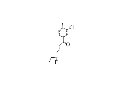 CCCC(C)(F)CCCC(=O)c1ccc(C)c(Cl)c1